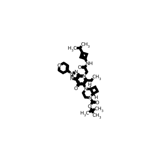 CCc1c(N2CCN(C(=O)OC(C)(C)C)[C@H]3CC[C@@H]32)c(=O)c2nn(C3=CCOCC3)nc2n1CC(=O)NC12CC(C(C)C)(C1)C2